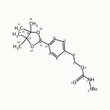 CC(C)(C)NC(=O)OCCc1ccc(B2OC(C)(C)C(C)(C)O2)cc1